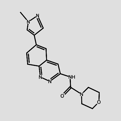 Cn1cc(-c2ccc3nnc(NC(=O)N4CCOCC4)cc3c2)cn1